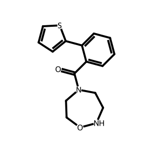 O=C(c1ccccc1-c1cccs1)N1CCNOCC1